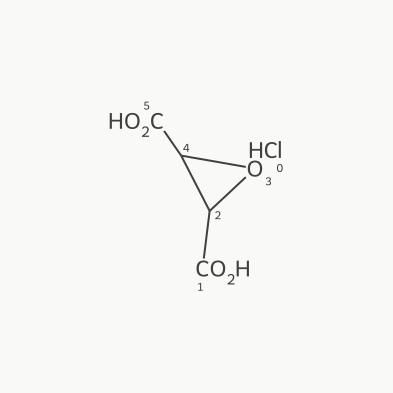 Cl.O=C(O)C1OC1C(=O)O